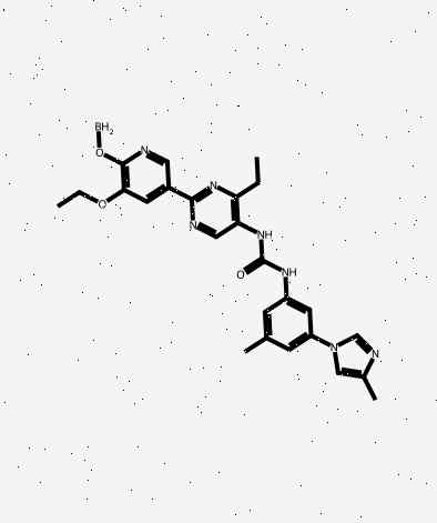 BOc1ncc(-c2ncc(NC(=O)Nc3cc(C)cc(-n4cnc(C)c4)c3)c(CC)n2)cc1OCC